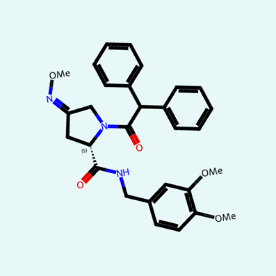 CON=C1C[C@@H](C(=O)NCc2ccc(OC)c(OC)c2)N(C(=O)C(c2ccccc2)c2ccccc2)C1